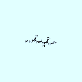 CCOC(=O)NC=CC(=O)OC